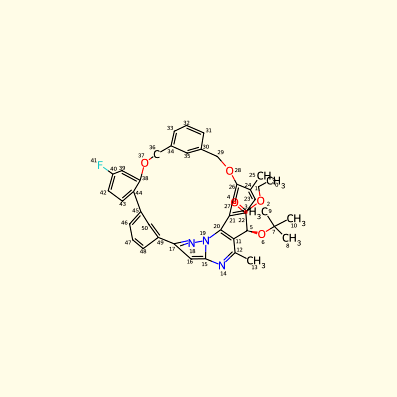 CCOC(=O)[C@@H](OC(C)(C)C)c1c(C)nc2cc3nn2c1-c1ccc(C)c(c1)OCc1cccc(c1)COc1cc(F)ccc1-c1cccc-3c1